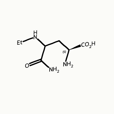 CCNC(C[C@H](N)C(=O)O)C(N)=O